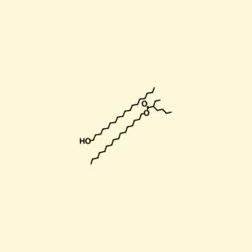 CCCCCCCCCCCCCCCCCCO.CCCCCCCCCCCCCCCCOC(=O)C(CC)CCCC